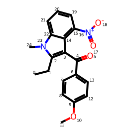 CCc1c(C(=O)c2ccc(OC)cc2)c2c([N+](=O)[O-])cccc2n1C